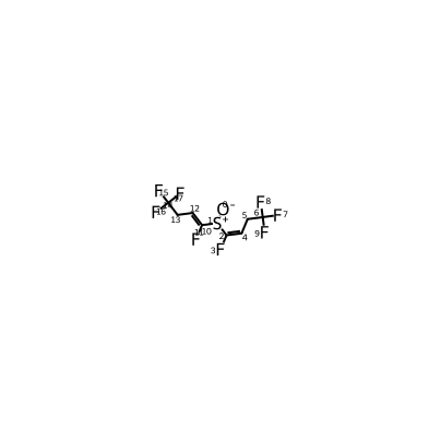 [O-][S+](C(F)=CCC(F)(F)F)C(F)=CCC(F)(F)F